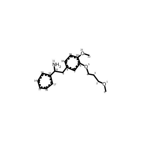 COCCCOc1cc(CC(N)c2ccccc2)ccc1OC